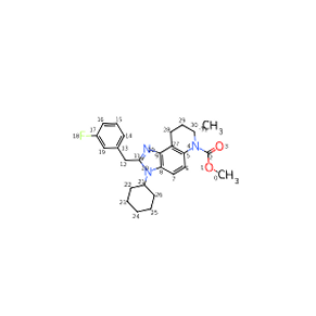 COC(=O)N1c2ccc3c(nc(Cc4cccc(F)c4)n3C3CCCCC3)c2CC[C@@H]1C